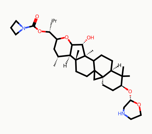 CC(C)[C@@H](OC(=O)N1CCC1)C1C[C@@H](C)[C@H]2C(O1)[C@H](O)[C@@]1(C)C3CC[C@H]4C(C)(C)[C@@H](O[C@H]5CNCCO5)CC[C@@]45CC35CC[C@]21C